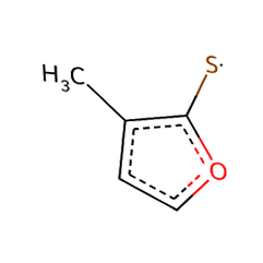 Cc1ccoc1[S]